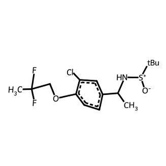 CC(N[S+]([O-])C(C)(C)C)c1ccc(OCC(C)(F)F)c(Cl)c1